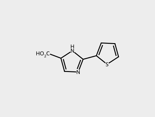 O=C(O)c1cnc(-c2cccs2)[nH]1